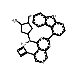 CN(c1nc(-c2ccnc3[nH]c4ccccc4c23)nc2cncc(C3=CC=C3)c12)C1CC(N)C(O)C1